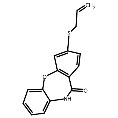 C=CCSc1ccc2c(c1)Oc1ccccc1NC2=O